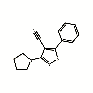 N#Cc1c(N2CCCC2)nsc1-c1ccccc1